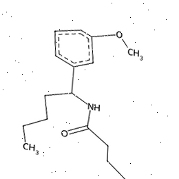 CCCCC(NC(=O)CCC)c1cccc(OC)c1